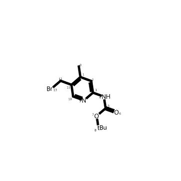 Cc1cc(NC(=O)OC(C)(C)C)ncc1CBr